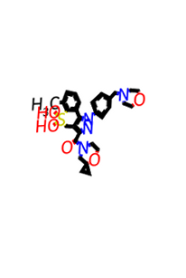 Cc1cccc2c1S(O)(O)Cc1c(C(=O)N3CCOC4(CC4)C3)nn(-c3ccc(CN4CCOCC4)cc3)c1-2